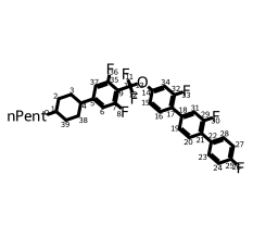 CCCCCC1CCC(c2cc(F)c(C(F)(F)Oc3ccc(-c4ccc(-c5ccc(F)cc5)c(F)c4)c(F)c3)c(F)c2)CC1